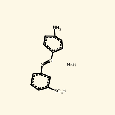 Nc1ccc(N=Nc2cccc(S(=O)(=O)O)c2)cc1.[NaH]